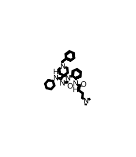 CN(C)CCCC(=O)Nc1ccccc1N1C(=O)N=C(NC2CCCCC2)C12CCN(Cc1ccccc1)CC2